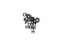 OC1NCC[C@H]1Nc1nc2ccccc2c2nc(-c3ccc(Cl)cc3OC(F)F)nn12